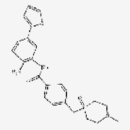 CN1CCP(=O)(Cc2ccc(C(=O)Nc3cc(-c4cccs4)ccc3N)cc2)CC1